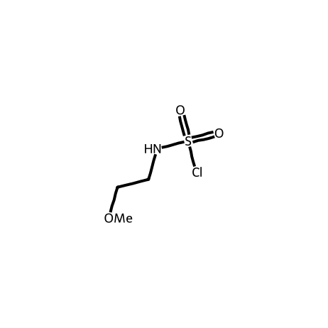 COCCNS(=O)(=O)Cl